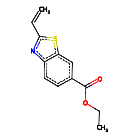 C=Cc1nc2ccc(C(=O)OCC)cc2s1